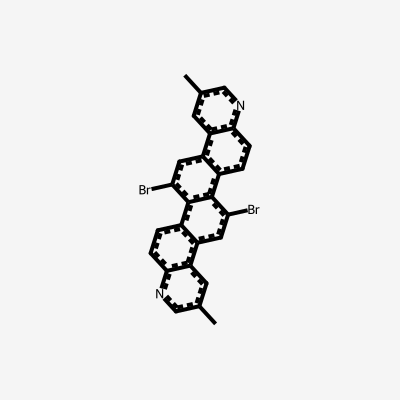 Cc1cnc2ccc3c(cc(Br)c4c5ccc6ncc(C)cc6c5cc(Br)c34)c2c1